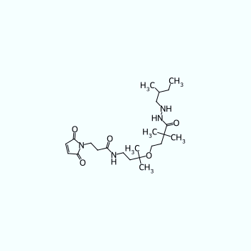 CCC(C)CNNC(=O)C(C)(C)CCOC(C)(C)CCNC(=O)CCN1C(=O)C=CC1=O